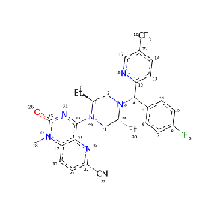 CC[C@H]1CN(C(c2ccc(F)cc2)c2ccc(C(F)(F)F)cn2)[C@H](CC)CN1c1nc(=O)n(C)c2ccc(C#N)nc12